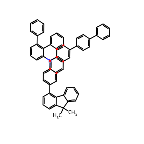 CC1(C)c2ccccc2-c2c(-c3ccc(N(c4ccc(-c5ccc(-c6ccccc6)cc5)cc4)c4cccc(-c5ccccc5)c4-c4ccccc4-c4ccccc4)cc3)cccc21